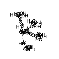 COP(=O)(O)OCC(CO)CCCCNC(=O)CCCCCCCCCCCNC(=O)[C@H](CCCCNC(=O)COCCOCCOCCOC1OC(CO)C(O)C(O)C1NC(C)=O)NC(=O)[C@H](CCCCNC(=O)COCCOCCOCCOC1OC(CO)C(O)C(O)C1NC(C)=O)NC(=O)COCCOCCOCCOC1OC(CO)C(O)C(O)C1NC(C)=O